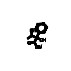 CC(S)C(O)(C(=O)O)c1ccccc1